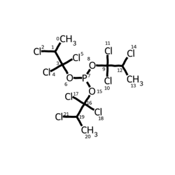 CC(Cl)C(Cl)(Cl)OP(OC(Cl)(Cl)C(C)Cl)OC(Cl)(Cl)C(C)Cl